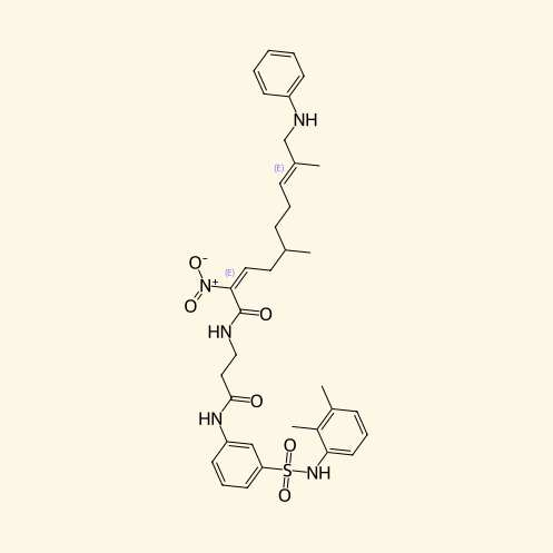 C/C(=C\CCC(C)C/C=C(\C(=O)NCCC(=O)Nc1cccc(S(=O)(=O)Nc2cccc(C)c2C)c1)[N+](=O)[O-])CNc1ccccc1